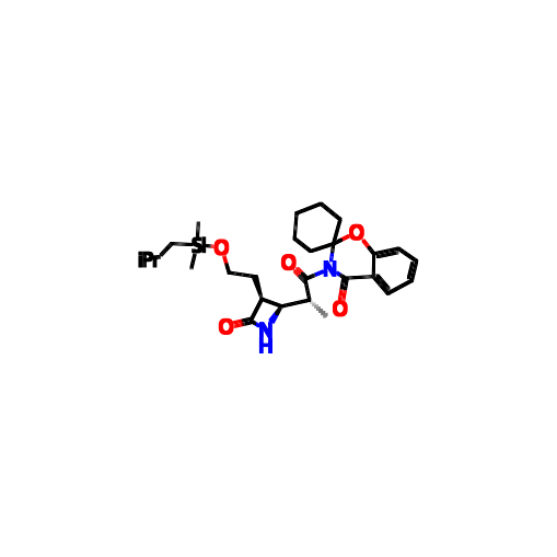 CC(C)C[Si](C)(C)OCC[C@@H]1C(=O)N[C@@H]1[C@@H](C)C(=O)N1C(=O)c2ccccc2OC12CCCCC2